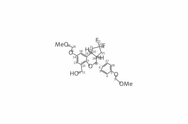 COCOc1ccc([C@@H]2Oc3c(CO)cc(OCOC)cc3[C@@H]3CC(F)(F)C[C@@H]32)cc1